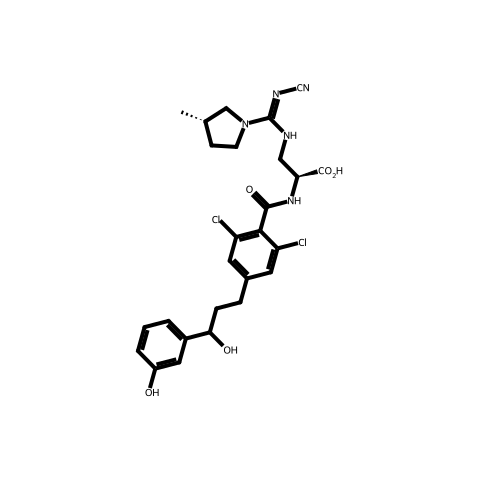 C[C@H]1CCN(/C(=N/C#N)NC[C@H](NC(=O)c2c(Cl)cc(CCC(O)c3cccc(O)c3)cc2Cl)C(=O)O)C1